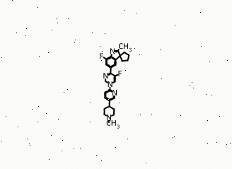 CC1=Nc2c(F)cc(C3=NCN(c4ccc(C5CCN(C)CC5)cn4)C=C3F)cc2C12CCCC2